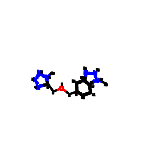 Cn1nnnc1COCc1ccc2c(c1)nnn2C